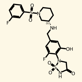 O=C1CN(c2c(O)cc(CN[C@H]3CCCN(S(=O)(=O)c4cccc(F)c4)C3)cc2F)S(=O)(=O)N1